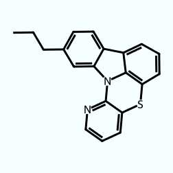 CCCc1ccc2c3cccc4c3n(c2c1)-c1ncccc1S4